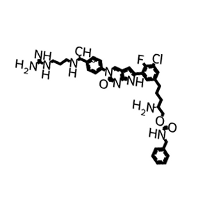 C[C@H](NCCCNC(=N)N)c1ccc(-n2cc3cc(-c4cc(CCC[C@@H](N)COC(=O)NCc5ccccc5)cc(Cl)c4F)[nH]c3nc2=O)cc1